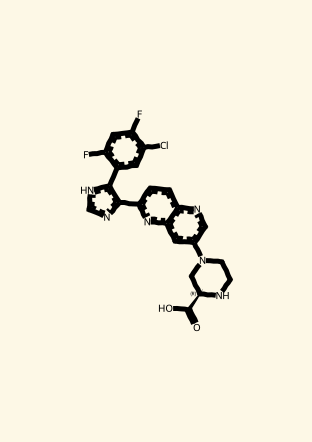 O=C(O)[C@H]1CN(c2cnc3ccc(-c4nc[nH]c4-c4cc(Cl)c(F)cc4F)nc3c2)CCN1